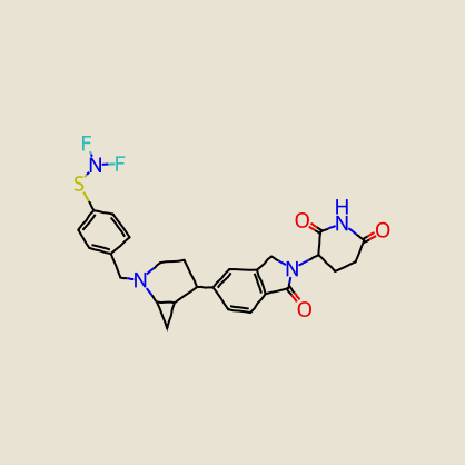 O=C1CCC(N2Cc3cc(C4CCN(Cc5ccc(SN(F)F)cc5)C5CC45)ccc3C2=O)C(=O)N1